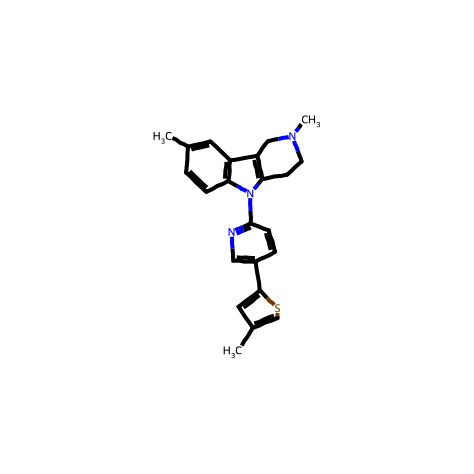 Cc1csc(-c2ccc(-n3c4c(c5cc(C)ccc53)CN(C)CC4)nc2)c1